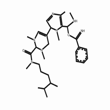 CNC(OC(=N)c1ccccc1)C1=C(C)N=CC(C2=CN(C)C(C(=O)N(C)CCCC(C)C(C)C)N(C)C2)N1C